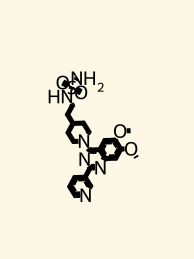 COc1cc2nc(-c3cccnc3)nc(N3CCC(CCNS(N)(=O)=O)CC3)c2cc1OC